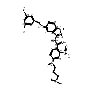 CN(C)CCCN(C)c1ccc(C(=O)Nc2n[nH]c3ccc(OCc4cc(F)cc(F)c4)cc23)c([N+](=O)[O-])c1